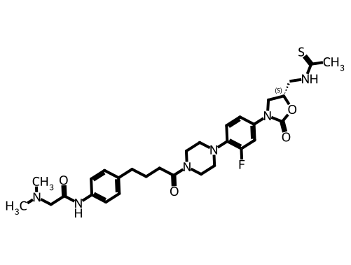 CC(=S)NC[C@H]1CN(c2ccc(N3CCN(C(=O)CCCc4ccc(NC(=O)CN(C)C)cc4)CC3)c(F)c2)C(=O)O1